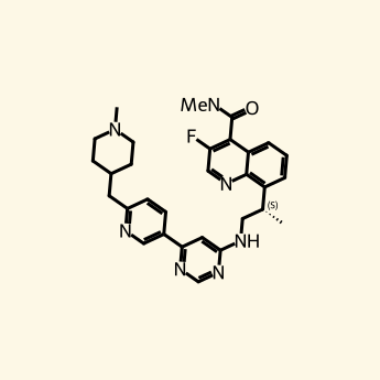 CNC(=O)c1c(F)cnc2c([C@H](C)CNc3cc(-c4ccc(CC5CCN(C)CC5)nc4)ncn3)cccc12